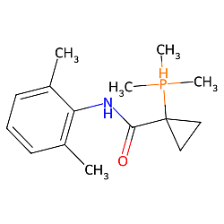 Cc1cccc(C)c1NC(=O)C1([PH](C)(C)C)CC1